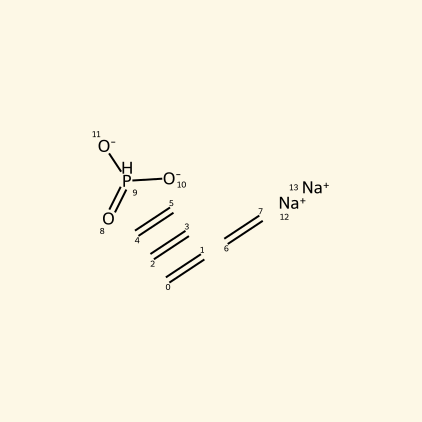 C=C.C=C.C=C.C=C.O=[PH]([O-])[O-].[Na+].[Na+]